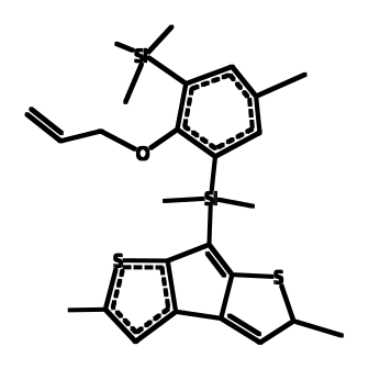 C=CCOc1c([Si](C)(C)C)cc(C)cc1[Si](C)(C)C1=C2SC(C)C=C2c2cc(C)sc21